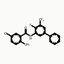 O=C(Nc1cc(-c2ccccc2)cc(C(F)(F)F)c1F)c1cc(Cl)ccc1O